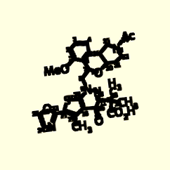 COc1ccccc1C(Cn1nc(C(C)(C)C(=O)O)c(=O)c2c(C)c(-c3ncco3)sc21)OC1CCN(C(C)=O)CC1